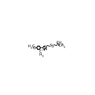 COc1ccc(-c2cn(CCSSCCN(C)C)nn2)c(C)c1